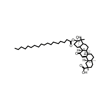 CCCCCCCCCCCCCCCCCC(=O)O[C@]1(O)CC[C@@]2(C)C(CC[C@]3(C)[C@@H]2C(=O)C=C2[C@H]4C[C@@](C)(C(=O)O)CC[C@]4(C)CC[C@]23C)C1(C)C